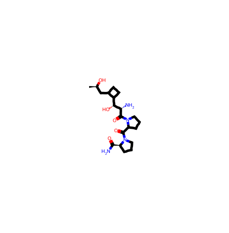 C[C@@H](O)CC1CCC1[C@@H](O)[C@H](N)C(=O)N1CCCC1C(=O)N1CCC[C@H]1C(N)=O